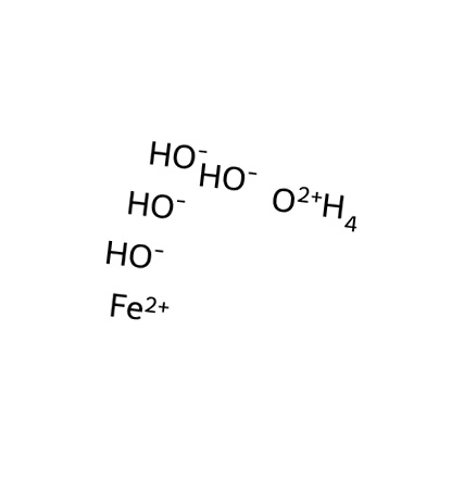 [Fe+2].[OH-].[OH-].[OH-].[OH-].[OH4+2]